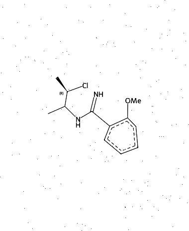 COc1ccccc1C(=N)NC(C)[C@@H](C)Cl